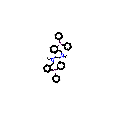 CN(CCN(C)Cc1ccccc1P(c1ccccc1)c1ccccc1)Cc1ccccc1P(c1ccccc1)c1ccccc1